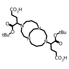 CC(C)(C)OC(=O)C(CCC(=O)O)N1CCCN2CCN(CCCN(C(CCC(=O)O)C(=O)OC(C)(C)C)CC2)CC1